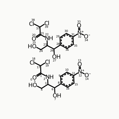 O=C(NC(CO)C(O)c1ccc([N+](=O)[O-])cc1)C(Cl)Cl.O=C(NC(CO)C(O)c1ccc([N+](=O)[O-])cc1)C(Cl)Cl